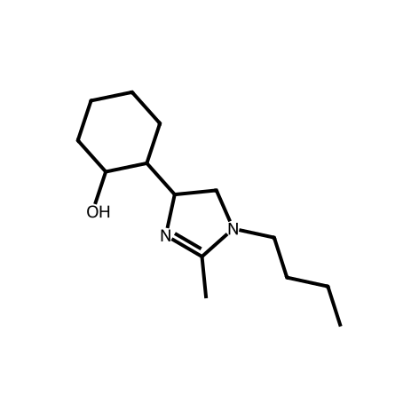 CCCCN1CC(C2CCCCC2O)N=C1C